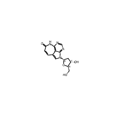 O=C1C=Cc2cn([C@H]3C[C@H](O)[C@@H](CO)O3)c3ncnc(c23)N1